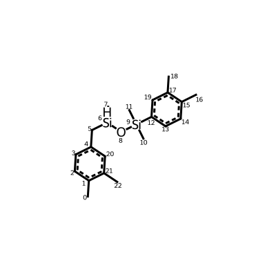 Cc1ccc(C[SiH](C)O[Si](C)(C)c2ccc(C)c(C)c2)cc1C